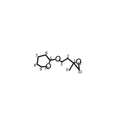 CC1(CCOC2CCCCO2)CO1